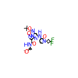 CO[C@@H]1CC1NC(=O)c1cnn2c(N(C)C(=O)OC(C)(C)C)cc(Nc3cccn(C4CC(F)(F)C4)c3=O)nc12